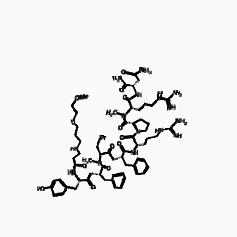 COCCOCCCNCCC(=O)N[C@@H](Cc1ccc(O)cc1)C(=O)C[C@@H](Cc1ccccc1)C(=O)N(C)[C@@H](CC(C)C)C(=O)C[C@@H](Cc1ccccc1)C(=O)N[C@@H](CCCNC(=N)N)C(=O)N1CCC[C@H]1C(=O)N(C)[C@@H](CCCNC(=N)N)C(=O)N[C@@H](CC(N)=O)C(N)=O